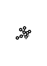 c1ccc(-c2ccc(N(c3ccc(-c4ccccc4)c(-c4ccccc4)c3)c3cncc4sc5c6ccccc6ccc5c34)cc2)cc1